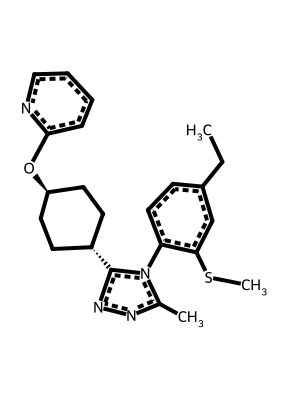 CCc1ccc(-n2c(C)nnc2[C@H]2CC[C@H](Oc3ccccn3)CC2)c(SC)c1